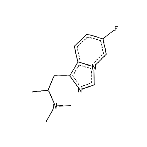 CC(Cc1ncn2cc(F)ccc12)N(C)C